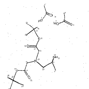 CC(=O)O.CC(=O)O.CC(N)CN(CC(=O)OC(C)(C)C)CC(=O)OC(C)(C)C